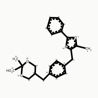 Cc1oc(-c2ccccc2)nc1Cc1ccc(CC2COC(C)(C(=O)O)OC2)cc1